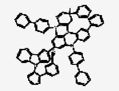 CC1(c2ccccc2)C=CC2=C(C1)B1c3cc(-c4ccccc4)ccc3N(c3ccc(-c4ccccc4)cc3)c3cc(-c4ccc5c(c4)c4ccccc4n5-c4ccccc4-c4cccc(C#N)c4)cc(c31)N2c1ccc(-c2ccccc2)cc1